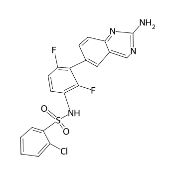 Nc1ncc2cc(-c3c(F)ccc(NS(=O)(=O)c4ccccc4Cl)c3F)ccc2n1